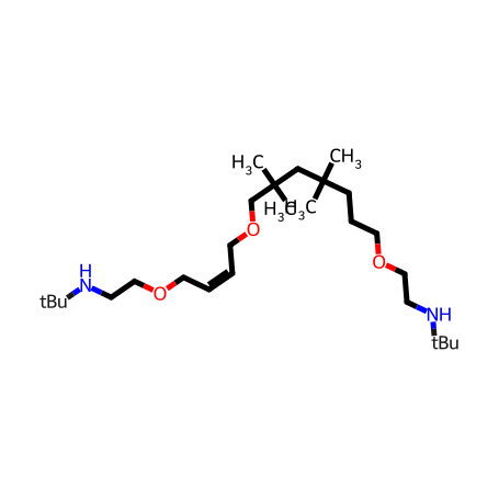 CC(C)(CCCOCCNC(C)(C)C)CC(C)(C)COC/C=C\COCCNC(C)(C)C